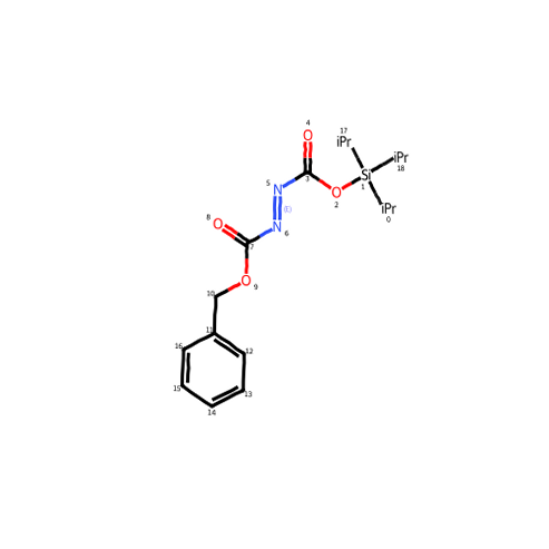 CC(C)[Si](OC(=O)/N=N/C(=O)OCc1ccccc1)(C(C)C)C(C)C